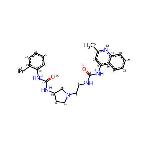 Cc1cc(NC(=O)NCCN2CCC(NC(=O)Nc3ccccc3C(C)C)C2)c2ccccc2n1